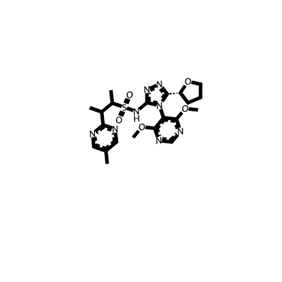 COc1ncnc(OC)c1-n1c(NS(=O)(=O)C(C)C(C)c2ncc(C)cn2)nnc1[C@H]1CCCO1